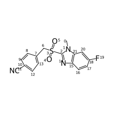 Cn1c(S(=O)(=O)Cc2ccc(C#N)cc2)nc2ccc(F)cc21